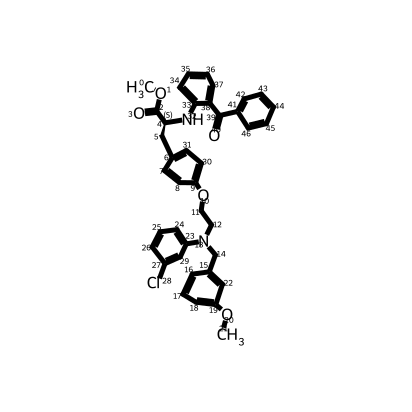 COC(=O)[C@H](Cc1ccc(OCCN(Cc2cccc(OC)c2)c2cccc(Cl)c2)cc1)Nc1ccccc1C(=O)c1ccccc1